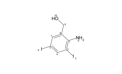 Nc1c(I)cc(I)cc1CO